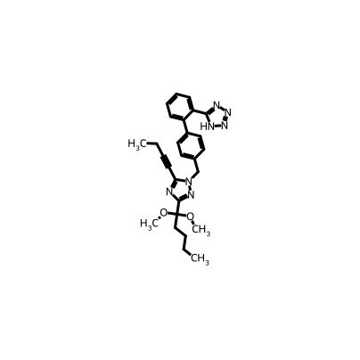 CCC#Cc1nc(C(CCCC)(OC)OC)nn1Cc1ccc(-c2ccccc2-c2nnn[nH]2)cc1